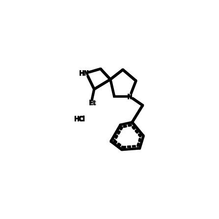 CCC1NCC12CCN(Cc1ccccc1)C2.Cl